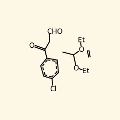 C=C.CCOC(C)OCC.O=CCC(=O)c1ccc(Cl)cc1